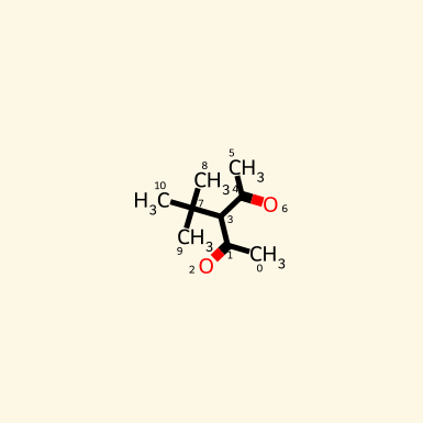 CC(=O)C(C(C)=O)C(C)(C)C